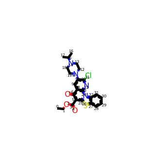 CCOC(=O)c1c(=O)c2cc(N3CCN(C(C)C)CC3)c(Cl)nc2n2c1sc1ccccc12